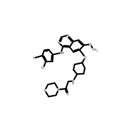 COc1cc2ncnc(Nc3ccc(F)c(Cl)c3)c2cc1OC1CCC(NCC(=O)N2CCOCC2)CC1